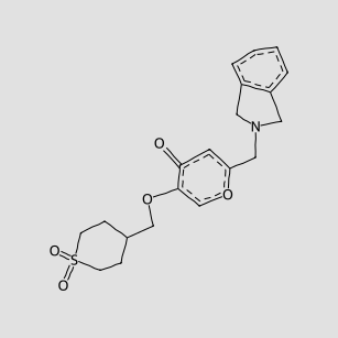 O=c1cc(CN2Cc3ccccc3C2)occ1OCC1CCS(=O)(=O)CC1